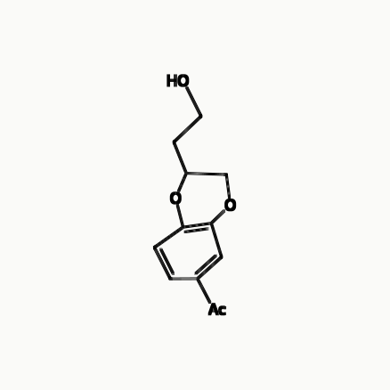 CC(=O)c1ccc2c(c1)OCC(CCO)O2